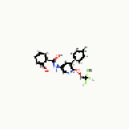 O=C(Nc1cnc(OCC(F)(F)F)c(-c2ccc(Cl)cc2)c1)c1ccccc1O